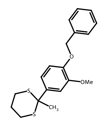 COc1cc(C2(C)SCCCS2)ccc1OCc1ccccc1